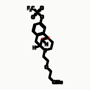 COCCOCCN1CC[C@]23CCCC[C@H]2[C@H]1Cc1ccc(OS(=O)(=O)C(F)(F)F)cc13